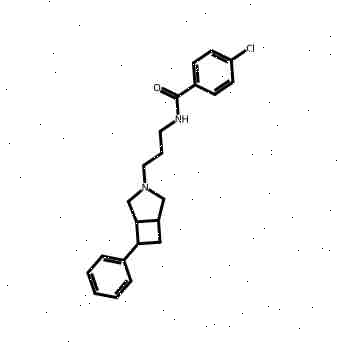 O=C(NCCCN1CC2CC(c3ccccc3)C2C1)c1ccc(Cl)cc1